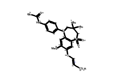 CCCCC1(CCCC)CN(c2ccc(NC(=O)C(C)(C)C)cc2)c2cc(SC)c(O/C=C/C(=O)O)cc2S(=O)(=O)C1